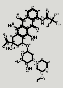 CO[C@@H]1CN([C@H]2CC(O[C@H]3C[C@](O)(C(C)=O)Cc4c(O)c5c(c(O)c43)C(=O)c3c(NC(=O)C(F)(F)F)cccc3C5=O)O[C@@H](C)[C@H]2O)CCO1